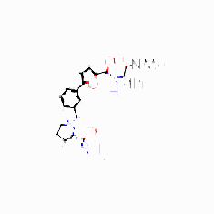 CNC(=O)[C@@H](NC(=O)c1ccc(-c2cccc(CN3CCC[C@H]3C(N)=O)c2)o1)C(C)C